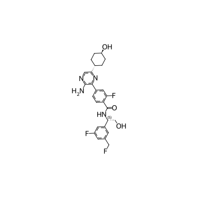 Nc1ncc([C@H]2CC[C@H](O)CC2)nc1-c1ccc(C(=O)N[C@H](CO)c2cc(F)cc(CF)c2)c(F)c1